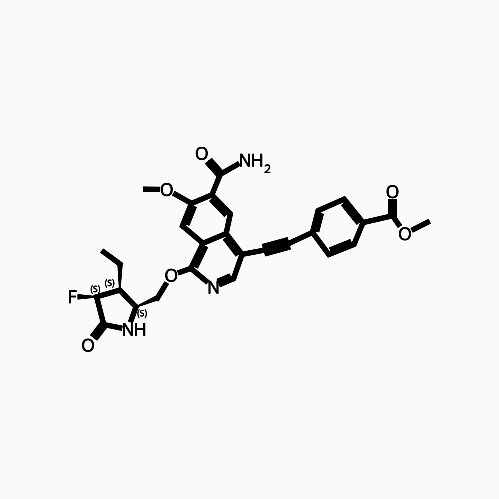 CC[C@@H]1[C@H](F)C(=O)N[C@@H]1COc1ncc(C#Cc2ccc(C(=O)OC)cc2)c2cc(C(N)=O)c(OC)cc12